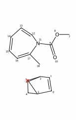 C1=CC2CCC1C2.COC(=O)N1C=CC=CC=C1C